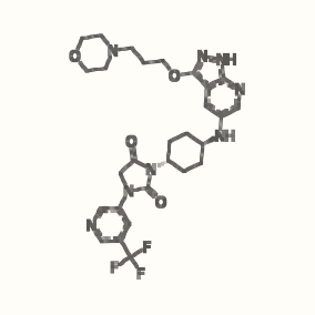 O=C1CN(c2cncc(C(F)(F)F)c2)C(=O)N1[C@H]1CC[C@H](Nc2cnc3[nH]nc(OCCCN4CCOCC4)c3c2)CC1